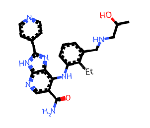 CCc1c(CNCC(C)O)cccc1Nc1c(C(N)=O)cnc2[nH]c(-c3ccncc3)nc12